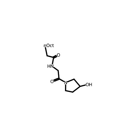 CCCCCCCCCC(=O)NCC(=O)N1CCC(O)C1